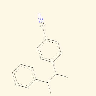 CC(c1ccccc1)C(C)c1ccc(C#N)cc1